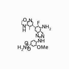 COc1cc(S(N)(=O)=O)ccc1Nc1ncc2c(N)c(F)c(-c3cnc4c(c3C)NCCO4)cc2n1